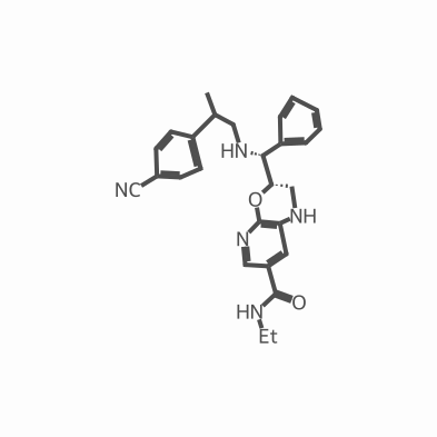 CCNC(=O)c1cnc2c(c1)NC[C@@H]([C@H](NCC(C)c1ccc(C#N)cc1)c1ccccc1)O2